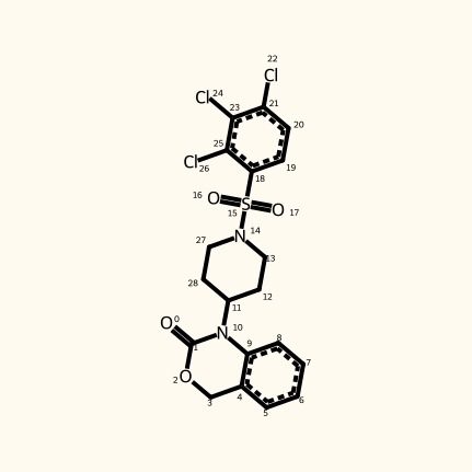 O=C1OCc2ccccc2N1C1CCN(S(=O)(=O)c2ccc(Cl)c(Cl)c2Cl)CC1